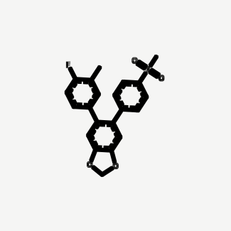 Cc1cc(-c2cc3c(cc2-c2ccc(S(C)(=O)=O)cc2)OCO3)ccc1F